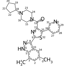 Cc1cc(C)c2[nH]nc(-c3nc(C(=O)N4CCN(C5CCCC5)CC4)c(-c4cccnc4)s3)c2c1